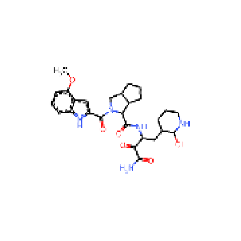 COc1cccc2[nH]c(C(=O)N3CC4CCCC4C3C(=O)NC(CC3CCCNC3O)C(=O)C(N)=O)cc12